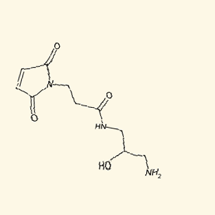 NCC(O)CNC(=O)CCN1C(=O)C=CC1=O